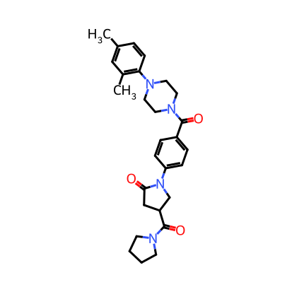 Cc1ccc(N2CCN(C(=O)c3ccc(N4CC(C(=O)N5CCCC5)CC4=O)cc3)CC2)c(C)c1